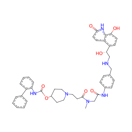 CN(CC(=O)Nc1ccc(CNC[C@H](O)c2ccc(O)c3[nH]c(=O)ccc23)cc1)C(=O)CCN1CCC(OC(=O)Nc2ccccc2-c2ccccc2)CC1